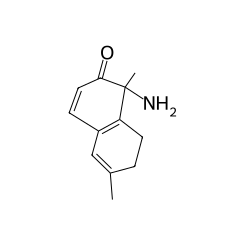 CC1=CC2=C(CC1)C(C)(N)C(=O)C=C2